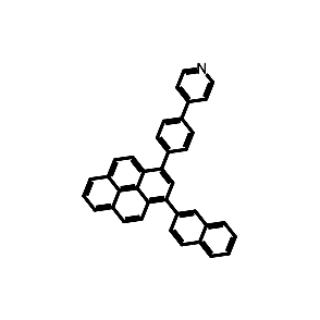 c1ccc2cc(-c3cc(-c4ccc(-c5ccncc5)cc4)c4ccc5cccc6ccc3c4c56)ccc2c1